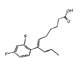 CCCC(=CCCCCC(=O)O)c1ccc(F)cc1F